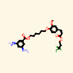 COc1cc(/C=C\C(=O)OCCC(F)(F)F)ccc1OCCCCCCOC(=O)c1cc(N)cc(N)c1